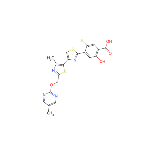 Cc1cnc(OCc2nc(C)c(-c3csc(-c4cc(O)c(C(=O)O)cc4F)n3)s2)nc1